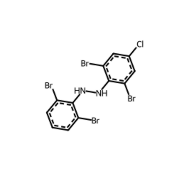 Clc1cc(Br)c(NNc2c(Br)cccc2Br)c(Br)c1